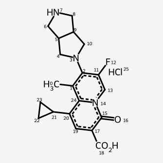 Cc1c(N2CC3CNCC3C2)c(F)cn2c(=O)c(C(=O)O)cc(C3CC3)c12.Cl